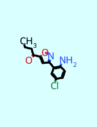 CCCC(=O)c1cc(-c2cc(Cl)ccc2N)no1